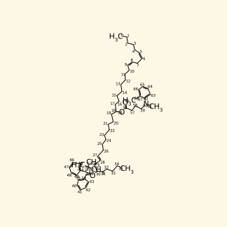 CCCCC/C=C\C/C=C\CCCCCCCCC(CCCCCCCCC=CCC(CCCCC)O[Si](c1ccccc1)(c1ccccc1)C(C)(C)C)OC(=O)CCCN(C)c1ccccc1C